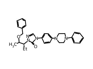 CC[C@@H](C(C)OCc1ccccc1)n1ncn(-c2ccc(N3CCN(c4ccccc4)CC3)cc2)c1=O